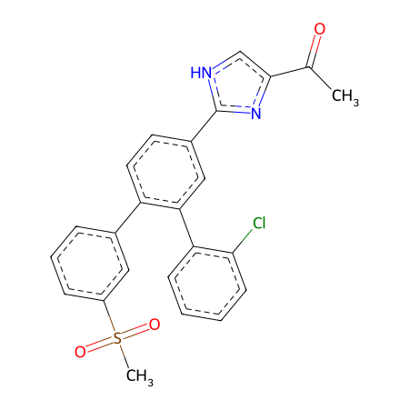 CC(=O)c1c[nH]c(-c2ccc(-c3cccc(S(C)(=O)=O)c3)c(-c3ccccc3Cl)c2)n1